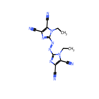 CCn1c(N=Nc2nc(C#N)c(C#N)n2CC)nc(C#N)c1C#N